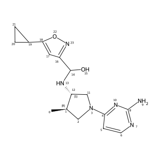 C[C@@H]1CN(c2ccnc(N)n2)C[C@H]1NC(O)c1cc(C2CC2)on1